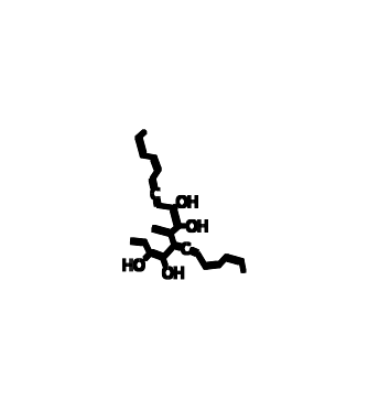 C=C/C(O)=C(/O)C(=C=C/C=C\C=C/C)C(=C)/C(O)=C(/O)C=C=C/C=C\C=C/C